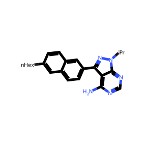 CCCCCCc1ccc2cc(-c3nn(C(C)C)c4ncnc(N)c34)ccc2c1